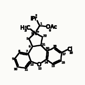 CC(=O)OC(C(C)C)[N+]1(C)CC2c3ccccc3Oc3ccc(Cl)cc3C2C1